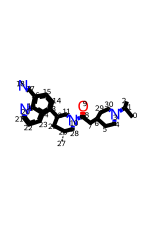 CC(C)N1CCC(CC(=O)N2CC(c3ccc(C#N)c4ncccc34)C[C@@H](C)C2)CC1